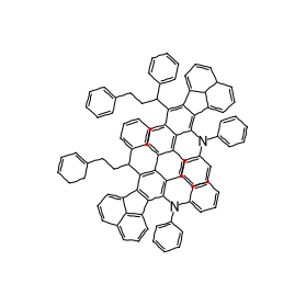 C1=CCCC(CCC(c2ccccc2)c2c3c(c(N(c4ccccc4)c4ccccc4)c4ccc5c(ccc6c(C(CCc7ccccc7)c7ccccc7)c7c(c(N(c8ccccc8)c8ccccc8)c65)C5=CC=CC6C=CC=C7C56)c24)-c2cccc4cccc-3c24)=C1